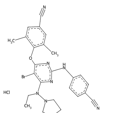 CCN(c1nc(Nc2ccc(C#N)cc2)nc(Oc2c(C)cc(C#N)cc2C)c1Br)N1CCCC1.Cl